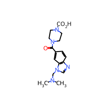 CN(C)Cn1cnc2ccc(C(=O)N3CCN(C(=O)O)CC3)cc21